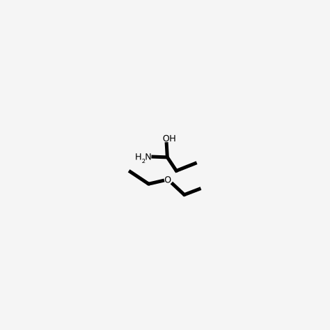 CCC(N)O.CCOCC